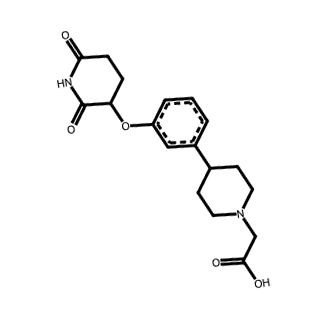 O=C(O)CN1CCC(c2cccc(OC3CCC(=O)NC3=O)c2)CC1